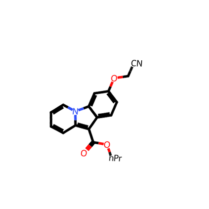 CCCOC(=O)c1c2ccc(OCC#N)cc2n2ccccc12